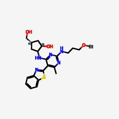 CCOCCCNc1nc(C)c(-c2nc3ccccc3s2)c(NC2C[C@H](CO)C[C@H]2O)n1